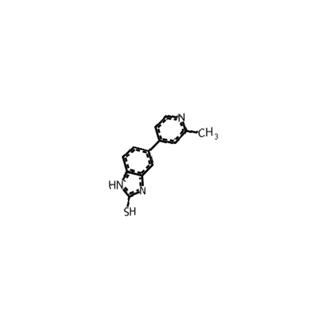 Cc1cc(-c2ccc3[nH]c(S)nc3c2)ccn1